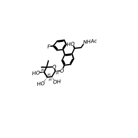 CC(=O)NCC(O)c1ccc(O[C@@H]2OC(C)(C)[C@H](O)[C@@H](O)[C@H]2O)cc1-c1cccc(F)c1